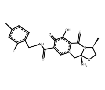 Cc1ccc(CNC(=O)c2cn3c(c(O)c2=O)C(=O)N2[C@@H](C)CO[C@]2(N)C3)c(F)c1